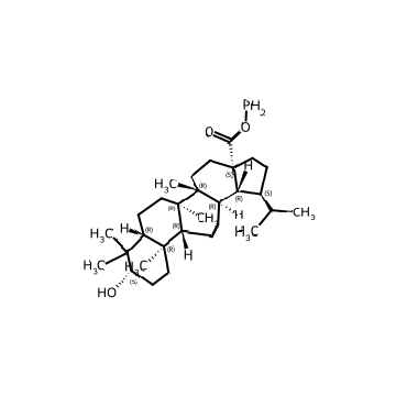 CC(C)[C@@H]1CC[C@]2(C(=O)OP)CC[C@]3(C)[C@H](CC[C@@H]4[C@@]5(C)CC[C@H](O)C(C)(C)[C@@H]5CC[C@]43C)[C@@H]12